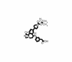 CC1N=NN2CCC(Nc3cccc(CC(=O)O)c3)c3cc(C4=CCN(C(=O)OC(C)(C)C)CC4)ccc3C12